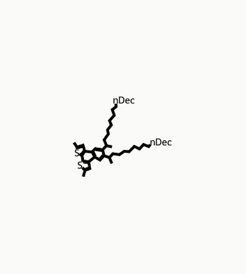 CCCCCCCCCCCCCCCCCCC(C)c1cc2c(cc1C(C)CCCCCCCCCCCCCCCCCC)c1cc(C)sc1c1sc(C)cc21